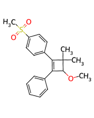 COC1C(c2ccccc2)=C(c2ccc(S(C)(=O)=O)cc2)C1(C)C